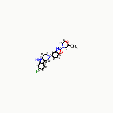 C[C@H]1CN(c2nc3cc(N4CCc5[nH]c6cc(F)ccc6c5C4)ccc3o2)CCO1